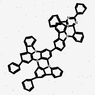 c1ccc(-c2cc3c4c(c2)c2ccccc2n4-c2cc(-c4ccc5c(c4)c4ccccc4n5-c4ccccc4-c4nc(-c5ccccc5)nc(-c5ccccc5)n4)cc4c2B3c2cc(-c3ccccc3)cc3c5ccccc5n-4c23)cc1